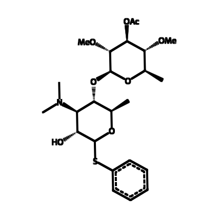 CO[C@H]1[C@H](O[C@H]2[C@H](N(C)C)[C@@H](O)C(Sc3ccccc3)O[C@@H]2C)O[C@H](C)[C@@H](OC)[C@@H]1OC(C)=O